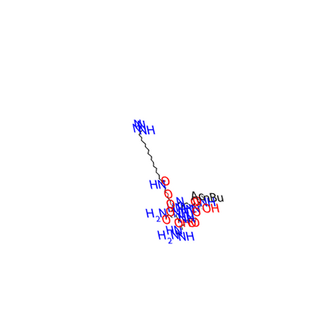 CCCC[C@H](NC(=O)[C@H](CO)NC(=O)[C@H](Cc1c[nH]cn1)NC(=O)[C@H](CO)NC(=O)[C@H](CCCNC(=N)N)NC(=O)[C@H](CCC(N)=O)NC(=O)COCCOCCNC(=O)CCCCCCCCCCCCCCCc1nnn[nH]1)C(C)=O